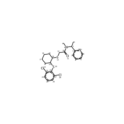 CC(c1ccccn1)N(C)C(=O)CSC1CCCCC1Sc1c(Cl)cccc1Cl